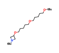 CC(C)(C)OCCCCCOCCCCCOC1CN(C(C)(C)C)C1